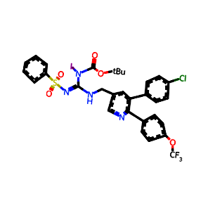 CC(C)(C)OC(=O)N(I)C(=NS(=O)(=O)c1ccccc1)NCc1cnc(-c2ccc(OC(F)(F)F)cc2)c(-c2ccc(Cl)cc2)c1